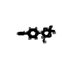 C#Cc1ccc([C@@H]2OC(C)(C)O[C@@H]2C)cc1